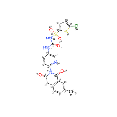 O=C(Nc1ccc(N2C(=O)Cc3ccc(C(F)(F)F)cc3C2=O)nc1)NS(=O)(=O)c1ccc(Cl)s1